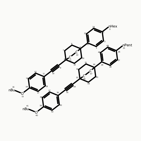 CCCCCCc1ccc(C23CCC(C#Cc4ccc(OCCCC)cc4)(CC2)CC3)cc1.CCCCCc1ccc(C23CCC(C#Cc4ccc(OCCCC)cc4)(CC2)CC3)cc1